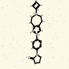 O=C1CCCN1c1ccc(-n2cc3c(n2)CCN(C2=CC=C2)CC3)cc1